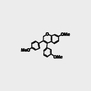 COc1ccc(C2=C(c3cccc(OC)c3)c3ccc(OC)cc3OC2)cc1